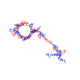 CCCC[C@H](NC(=O)CCC(=O)NCCCOCCOCCOCCCNC(=O)CN1CCN(C(=O)C(CNCCN)CNCCN)CC1)C(=O)N[C@H]1CSCc2cncc(c2)CSC[C@@H](C(=O)O)NC(=O)[C@H](Cc2ccccc2)NC(=O)[C@H](CCC(N)=O)NC(=O)[C@H](C(C)C)NC(=O)[C@@H]2CCCN2C(=O)[C@@H]2CCCN2C1=O